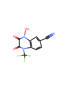 N#Cc1ccc2c(c1)n(O)c(=O)c(=O)n2C(F)(F)F